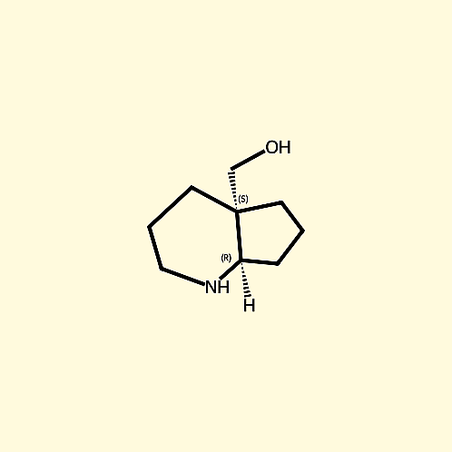 OC[C@@]12CCCN[C@@H]1CCC2